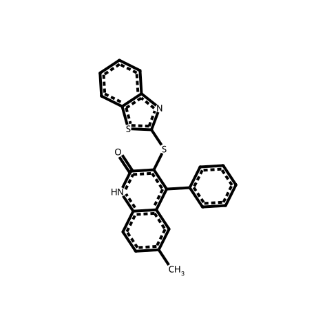 Cc1ccc2[nH]c(=O)c(Sc3nc4ccccc4s3)c(-c3ccccc3)c2c1